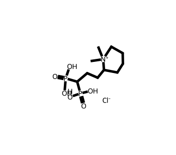 C[N+]1(C)CCCCC1CCC(P(=O)(O)O)P(=O)(O)O.[Cl-]